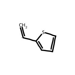 C=[C]c1cccs1